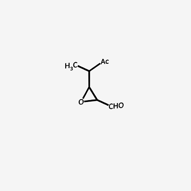 CC(=O)C(C)C1OC1C=O